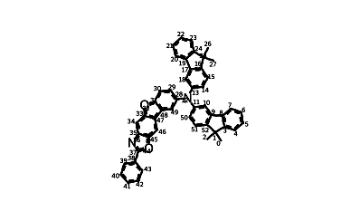 CC1(C)c2ccccc2-c2cc(N(c3ccc4c(c3)-c3ccccc3C4(C)C)c3ccc4oc5cc6nc(-c7ccccc7)oc6cc5c4c3)ccc21